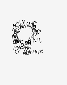 CCCCCCC[C@@H](O)CC(=O)N[C@H](Cc1c[nH]c2ccccc12)C(=O)N[C@H]1CCNC(=O)[C@H]([C@@H](C)O)NC(=O)[C@H](CCN)NC(=O)[C@H](CCN)NC(=O)[C@H](CC(C)C)NC(=O)[C@@H](Cc2ccccc2)NC(=O)[C@H](CCN)NC1=O